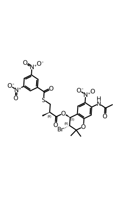 CC(=O)Nc1cc2c(cc1[N+](=O)[O-])[C@H](OC(=O)[C@@H](C)CSC(=O)c1cc([N+](=O)[O-])cc([N+](=O)[O-])c1)[C@@H](Br)C(C)(C)O2